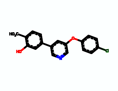 O=C(O)c1ccc(-c2cncc(Oc3ccc(Cl)cc3)c2)cc1O